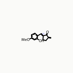 C=C1CC/C(=C\c2ccc(OC)cc2O)C1=O